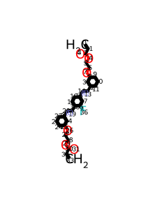 C=CC(=O)OCCOc1cccc(/C=C/c2ccc(/C=C/c3cccc(OCCOC(=O)C=C)c3)c(F)c2)c1